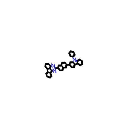 c1ccc(-n2c3ccccc3c3ccc(-c4ccc5cc(-c6nc7c8c(cccc8n6)-c6ccccc6-7)ccc5c4)cc32)cc1